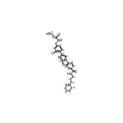 CCCCOC(=O)NCc1ccc(-c2cn3c(n2)sc2cc(C(=O)NCCCN4CCCCC4)ccc23)c(Cl)c1